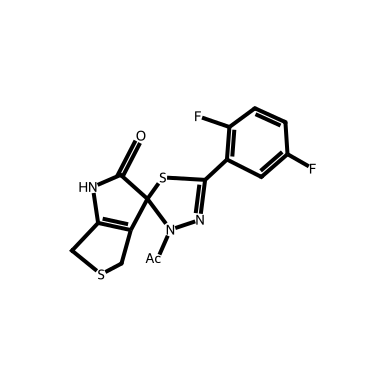 CC(=O)N1N=C(c2cc(F)ccc2F)SC12C(=O)NC1=C2CSC1